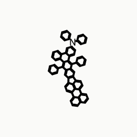 c1ccc(-c2c3cc4c(cc3c(-c3ccccc3)c3c5ccc(N(c6ccccc6)c6ccccc6)cc5c5ccccc5c23)-c2ccc3c5cccc6cccc(c7ccc-4c2c73)c65)cc1